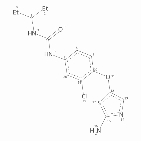 CCC(CC)NC(=O)Nc1ccc(Oc2cnc(N)s2)c(Cl)c1